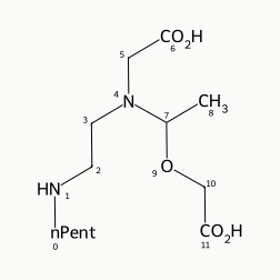 CCCCCNCCN(CC(=O)O)C(C)OCC(=O)O